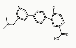 CN(C)Cc1cncc(-c2ccc(-c3cc(C(=O)O)ccc3Cl)cc2)c1